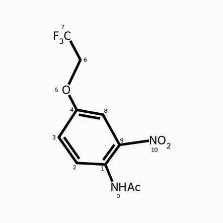 CC(=O)Nc1ccc(OCC(F)(F)F)cc1[N+](=O)[O-]